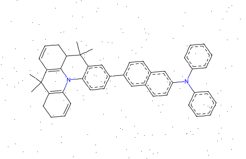 CC1(C)C2=C3C(CC=C2)C(C)(C)c2cc(-c4ccc5cc(N(c6ccccc6)c6ccccc6)ccc5c4)ccc2N3C2=C1CCC=C2